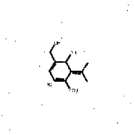 CC(C)=C1C(C(=O)O)=CC=C(CO)C1O.[Na]